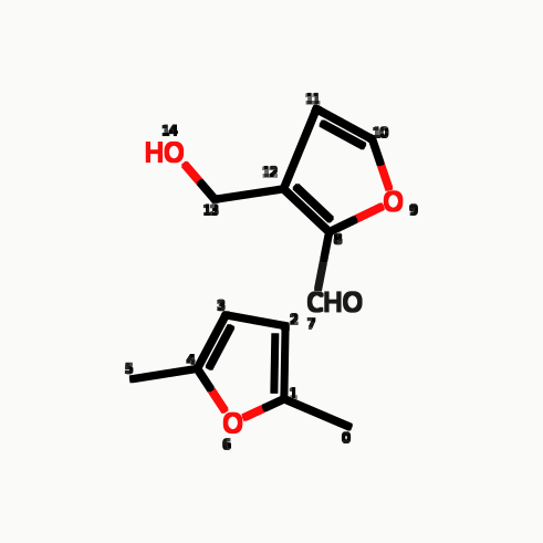 Cc1ccc(C)o1.O=Cc1occc1CO